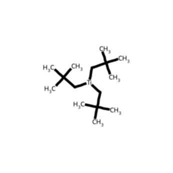 CC(C)(C)[CH2][Ti]([CH2]C(C)(C)C)[CH2]C(C)(C)C